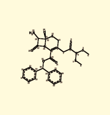 CSN(SC)C(=S)CC1=C(C(=O)OC(c2ccccc2)c2ccccc2)N2C(=O)C(N)[C@@H]2SC1